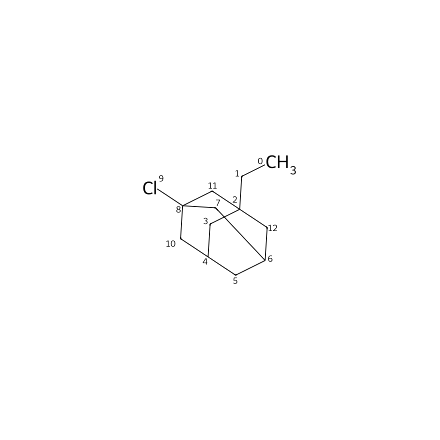 CCC12CC3CC(CC(Cl)(C3)C1)C2